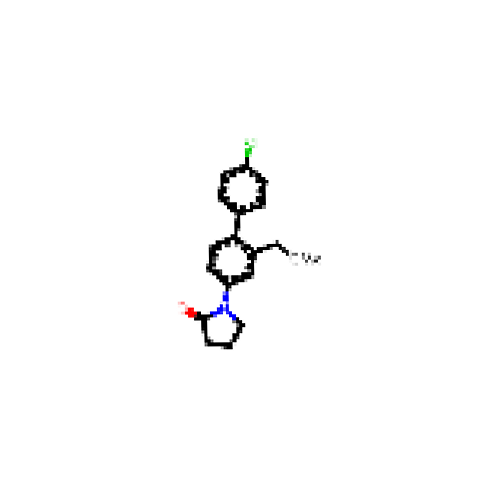 COCc1cc(N2CCCC2=O)ccc1-c1ccc(Cl)cc1